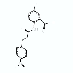 O=C(CCc1ccc([N+](=O)[O-])cc1)Nc1ccc(Cl)cc1C(=O)O